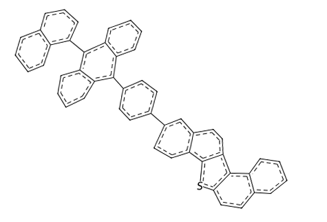 c1ccc2c(-c3c4ccccc4c(-c4ccc(-c5ccc6c(ccc7c6sc6ccc8ccccc8c67)c5)cc4)c4ccccc34)cccc2c1